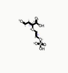 O=C/C=C(\O/C=C/OS(=O)(=O)O)C(=O)O